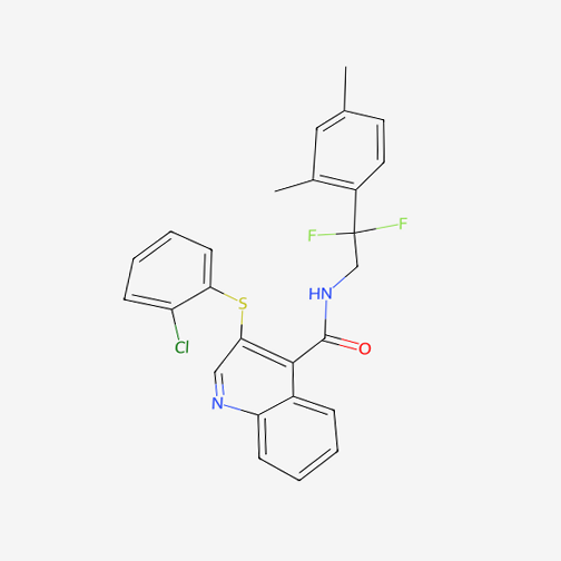 Cc1ccc(C(F)(F)CNC(=O)c2c(Sc3ccccc3Cl)cnc3ccccc23)c(C)c1